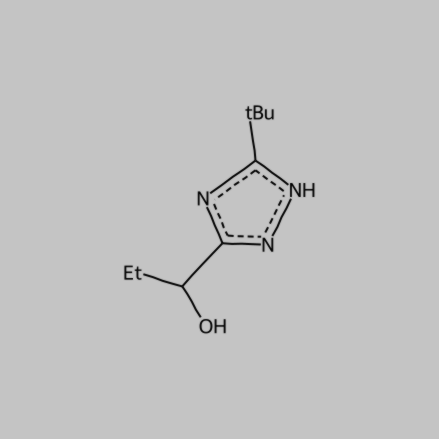 CCC(O)c1n[nH]c(C(C)(C)C)n1